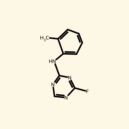 Cc1ccccc1Nc1ncnc(F)n1